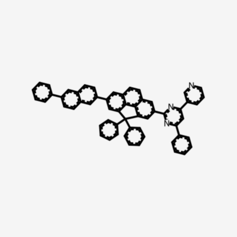 c1ccc(-c2ccc3cc(-c4cc5c6c(ccc7cc(-c8nc(-c9ccccc9)cc(-c9cccnc9)n8)cc(c76)C5(c5ccccc5)c5ccccc5)c4)ccc3c2)cc1